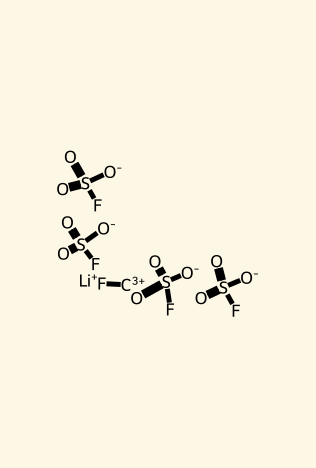 O=S(=O)([O-])F.O=S(=O)([O-])F.O=S(=O)([O-])F.O=S(=O)([O-])F.[C+3]F.[Li+]